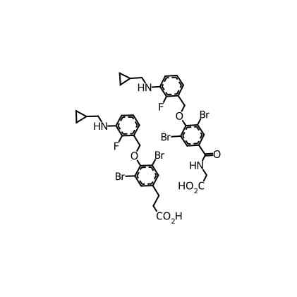 O=C(O)CCc1cc(Br)c(OCc2cccc(NCC3CC3)c2F)c(Br)c1.O=C(O)CNC(=O)c1cc(Br)c(OCc2cccc(NCC3CC3)c2F)c(Br)c1